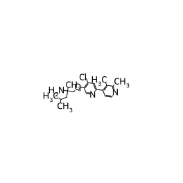 Cc1nccc(-c2cc(Cl)c(OCC(C)(N)CC(C)C)cn2)c1C